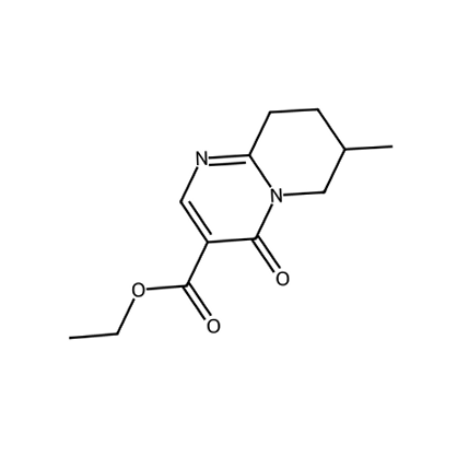 CCOC(=O)c1cnc2n(c1=O)CC(C)CC2